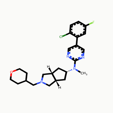 CN(c1ncc(-c2cc(F)ccc2Cl)cn1)[C@@H]1C[C@@H]2CN(CC3CCOCC3)C[C@@H]2C1